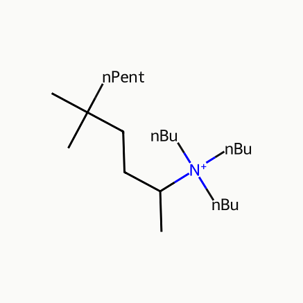 CCCCCC(C)(C)CCC(C)[N+](CCCC)(CCCC)CCCC